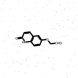 O=[C]COc1ccc2[nH]c(=O)ccc2c1